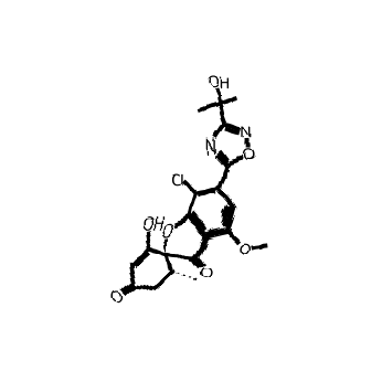 COc1cc(-c2nc(C(C)(C)O)no2)c(Cl)c2c1C(=O)[C@@]1(O2)C(O)=CC(=O)C[C@H]1C